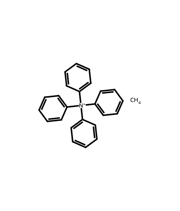 C.c1ccc([N+](c2ccccc2)(c2ccccc2)c2ccccc2)cc1